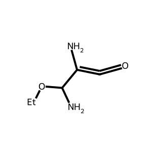 CCOC(N)C(N)=C=O